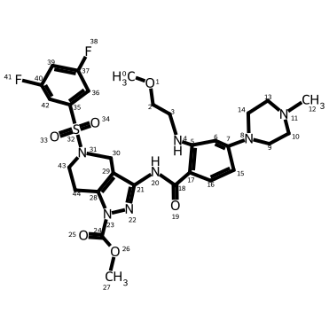 COCCNc1cc(N2CCN(C)CC2)ccc1C(=O)Nc1nn(C(=O)OC)c2c1CN(S(=O)(=O)c1cc(F)cc(F)c1)CC2